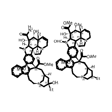 CC[C@@H]1C[C@H]2C[N@](CCc3c([nH]c4ccccc34)[C@@](C(=O)OC)(c3cc4c(cc3OC)N(C=O)[C@H]3[C@@](O)(C(=O)OC)[C@H](OC(C)=O)[C@]5(CC)C=CCN6CC[C@]43[C@@H]65)C2)C1.CC[C@]1(O)C[C@H]2C[N@](CCc3c([nH]c4ccccc34)[C@@](C(=O)OC)(c3cc4c(cc3OC)N(C)[C@H]3[C@@](O)(C(N)=O)[C@H](O)[C@]5(CC)C=CCN6CC[C@]43[C@@H]65)C2)C1